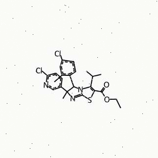 CCOC(=O)C1=C(C(C)C)N2C(=NC(C)(c3ccc(Cl)nc3)C2c2ccc(Cl)cc2C)S1